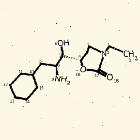 CCN1C[C@@H](C(O)[C@@H](N)CC2CCCCC2)OC1=O